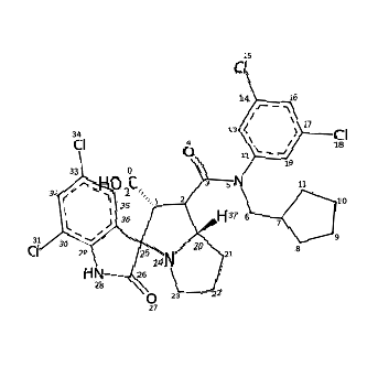 O=C(O)[C@@H]1C(C(=O)N(CC2CCCC2)c2cc(Cl)cc(Cl)c2)[C@@H]2CCCN2C12C(=O)Nc1c(Cl)cc(Cl)cc12